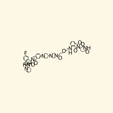 O=C1CCC(N2C(=O)c3cccc(NCCOCCC(=O)N4CCN(C5CCN(c6ccc7c(c6)C(=O)N(C(C(=O)NC6=NC=CCC6)c6cc(F)ccc6O)C7)CC5)CC4)c3C2=O)C(=O)N1